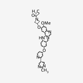 C=CC(=O)N1CC(Oc2cc3c(Nc4ccc(Oc5ccnc(-c6cnc(C)nc6)c5)cc4F)ncnc3cc2OC)C1